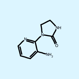 Nc1cccnc1N1CCNC1=O